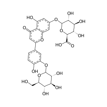 O=C(O)[C@H]1OC(Oc2cc(O)c3c(=O)cc(-c4ccc(O)c(OC5O[C@H](CO)[C@@H](O)[C@H](O)[C@H]5O)c4)oc3c2)[C@H](O)[C@@H](O)[C@@H]1O